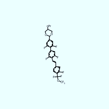 CCCC1COC(c2cc(F)c(-c3cc(F)c(/C=C/c4ccc(C(F)(F)OC(F)(F)F)c(F)c4)c(F)c3)c(F)c2)OC1